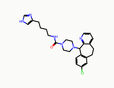 O=C(NCCCCc1c[nH]cn1)N1CCN(C2c3ccc(Cl)cc3CCc3cccnc32)CC1